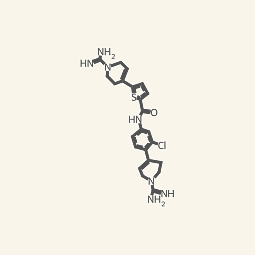 N=C(N)N1CC=C(c2ccc(C(=O)Nc3ccc(C4=CCN(C(=N)N)CC4)c(Cl)c3)s2)CC1